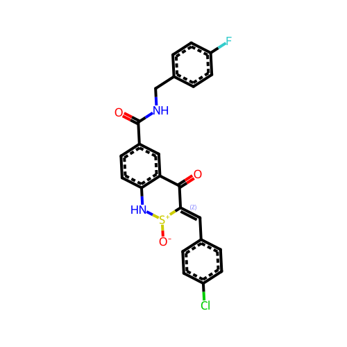 O=C(NCc1ccc(F)cc1)c1ccc2c(c1)C(=O)/C(=C/c1ccc(Cl)cc1)[S+]([O-])N2